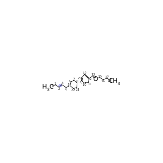 CC/C=C/C[C@H]1CC[C@H](c2ccc(COCCCC)cc2)CC1